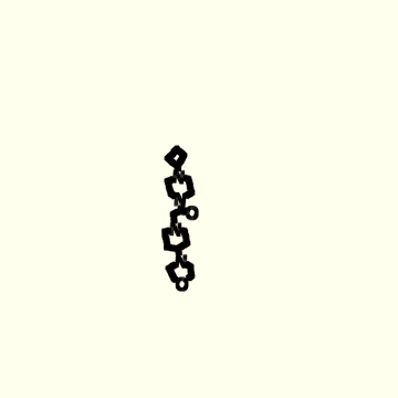 O=C(CN1CCC(N2CCOCC2)CC1)N1CCN(C2CCC2)CC1